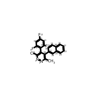 Cc1nnc(Cl)c(-c2c(F)cc(F)cc2F)c1-c1ccc2ccccc2c1